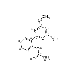 COc1nc(C)nc(-c2ccccc2OC(N)=O)n1